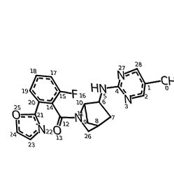 Cc1cnc(NC2CC3CC2N(C(=O)c2c(F)cccc2-c2ncco2)C3)nc1